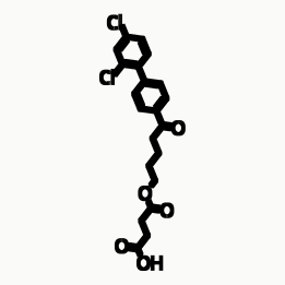 O=C(O)CCC(=O)OCCCCC(=O)c1ccc(-c2ccc(Cl)cc2Cl)cc1